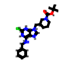 CC(C)(C)OC(=O)N1CCCC(Cn2cnc3c(NCc4ccccc4)nc(Cl)nc32)C1